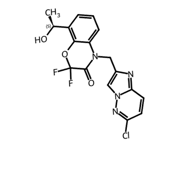 C[C@H](O)c1cccc2c1OC(F)(F)C(=O)N2Cc1cn2nc(Cl)ccc2n1